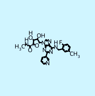 CNC(=O)[C@@H]1OC(n2cnc3c(NCc4cc(C)ccc4F)nc(-c4cccnc4)nc32)C(O)C1O